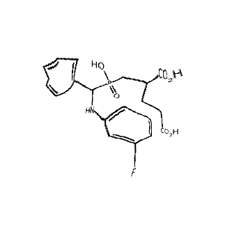 O=C(O)CCC(CP(=O)(O)C(Nc1cccc(F)c1)c1ccccc1)C(=O)O